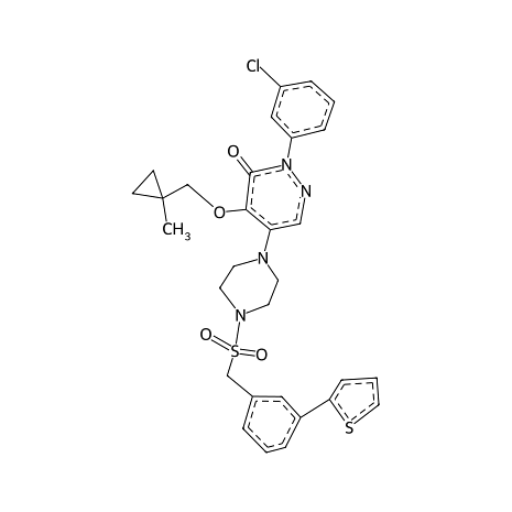 CC1(COc2c(N3CCN(S(=O)(=O)Cc4cccc(-c5cccs5)c4)CC3)cnn(-c3cccc(Cl)c3)c2=O)CC1